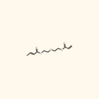 C=CC(=O)OCCOCCOC(=O)/C=C/I